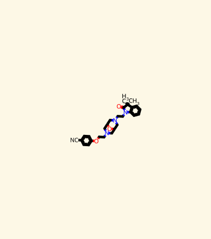 CC1(C)C(=O)N(CCN2CC3CN(CCOc4ccc(C#N)cc4)CC(C2)O3)c2ccccc21